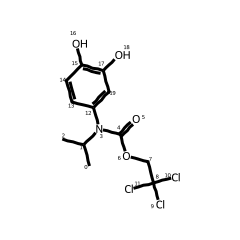 CC(C)N(C(=O)OCC(Cl)(Cl)Cl)c1ccc(O)c(O)c1